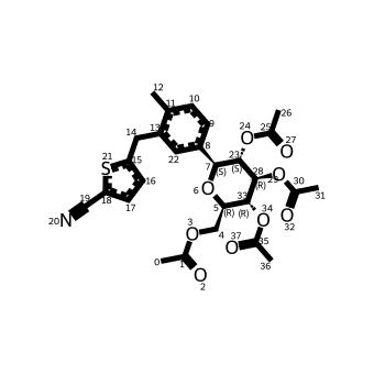 CC(=O)OC[C@H]1O[C@@H](c2ccc(C)c(Cc3ccc(C#N)s3)c2)[C@H](OC(C)=O)[C@@H](OC(C)=O)[C@@H]1OC(C)=O